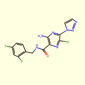 Nc1nc(-n2ccnn2)c(Cl)nc1C(=O)NCc1ccc(F)cc1F